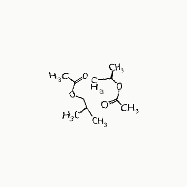 CC(=O)OC(C)C.CC(=O)OCC(C)C